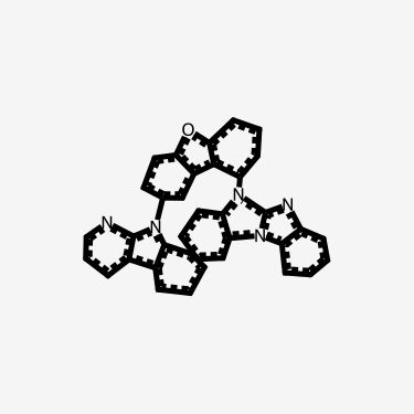 c1ccc2c(c1)nc1n(-c3cccc4oc5ccc(-n6c7ccccc7c7cccnc76)cc5c34)c3ccccc3n21